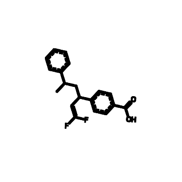 CC(CC(C=C(F)F)c1ccc(C(=O)O)cc1)c1ccccc1